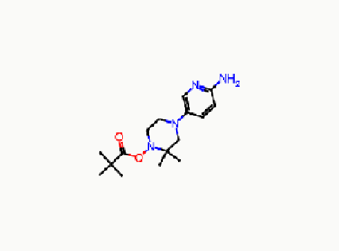 CC(C)(C)C(=O)ON1CCN(c2ccc(N)nc2)CC1(C)C